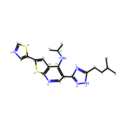 CC(C)CCc1nc(-c2cnc3sc(-c4cncs4)cc3c2NC(C)C)n[nH]1